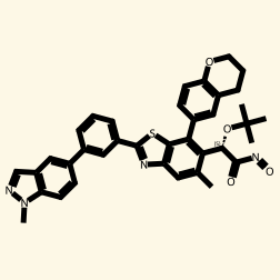 Cc1cc2nc(-c3cccc(-c4ccc5c(cnn5C)c4)c3)sc2c(-c2ccc3c(c2)CCCO3)c1[C@H](OC(C)(C)C)C(=O)N=O